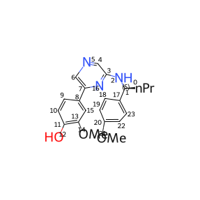 CCC[C@H](Nc1cncc(-c2ccc(O)c(OC)c2)n1)c1ccc(OC)cc1